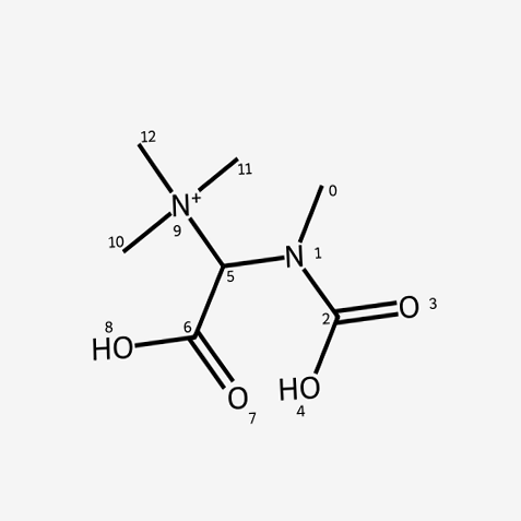 CN(C(=O)O)C(C(=O)O)[N+](C)(C)C